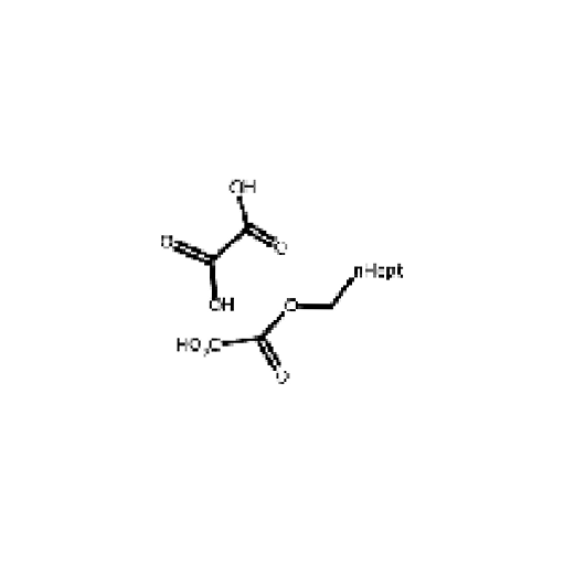 CCCCCCCCOC(=O)C(=O)O.O=C(O)C(=O)O